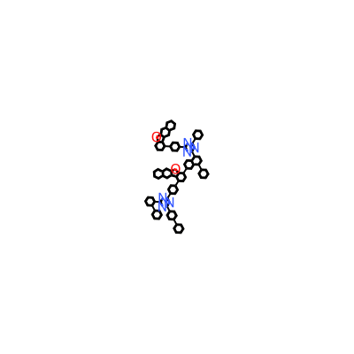 c1ccc(-c2ccc(-c3nc(-c4ccc(-c5ccc(-c6ccc7c(-c8nc(-c9ccccc9)nc(-c9ccc(-c%10cccc%11oc%12cc%13ccccc%13cc%12c%10%11)cc9)n8)ccc(-c8ccccc8)c7c6)c6oc7cc8ccccc8cc7c56)cc4)nc(-c4ccccc4-c4ccccc4)n3)cc2)cc1